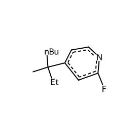 CCCCC(C)(CC)c1ccnc(F)c1